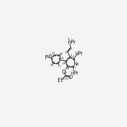 CCCC=Cc1c(C(C)C)nc(C(C)C)c(OC(=O)CC)c1-c1ccc(F)cc1